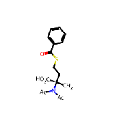 CC(=O)N(C(C)=O)[C@@](C)(CCSC(=O)c1ccccc1)C(=O)O